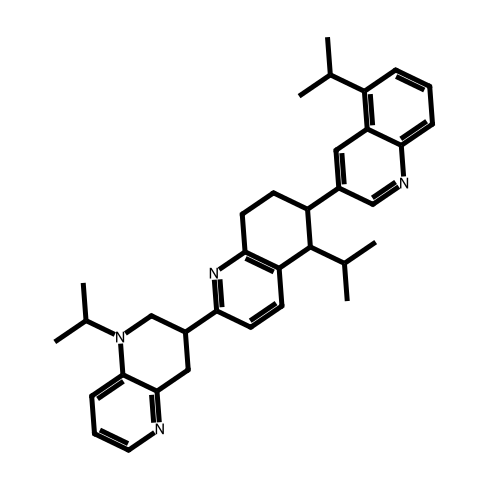 CC(C)c1cccc2ncc(C3CCc4nc(C5Cc6ncccc6N(C(C)C)C5)ccc4C3C(C)C)cc12